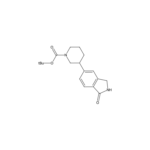 CC(C)(C)OC(=O)N1CCCC(c2ccc3c(c2)CNC3=O)C1